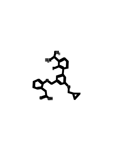 CC(N)c1cccc(-c2cc(COc3ccccc3CC(=O)O)cc(OCC3CC3)c2)c1F